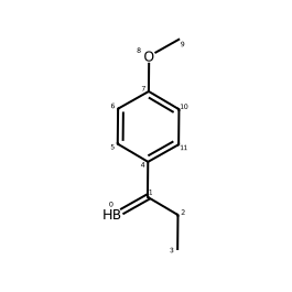 B=C(CC)c1ccc(OC)cc1